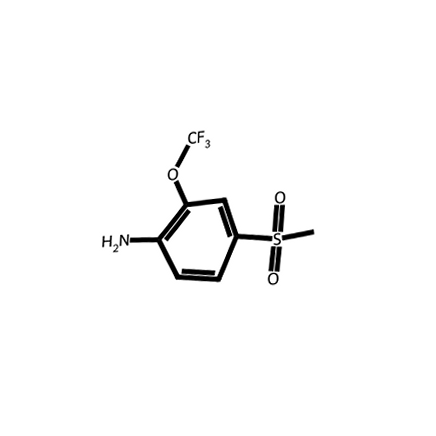 CS(=O)(=O)c1ccc(N)c(OC(F)(F)F)c1